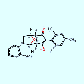 CSc1ccccc1[C@@H]1C[C@@H]2O[C@H]1[C@H]1C(O)=C(c3c(C)cc(C)cc3C)C(=O)[C@H]12